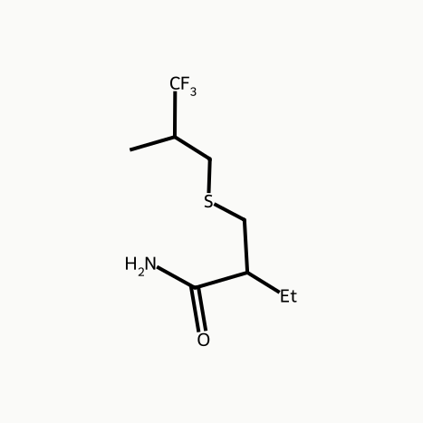 CCC(CSCC(C)C(F)(F)F)C(N)=O